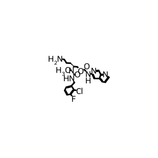 CN(C(=O)NCc1cccc(F)c1Cl)[C@@H](CCCN)COC(=O)Nc1cc2cccnc2cn1